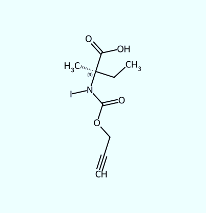 C#CCOC(=O)N(I)[C@](C)(CC)C(=O)O